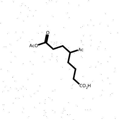 CC(=O)OC(=O)CCC(CCCC(=O)O)C(C)=O